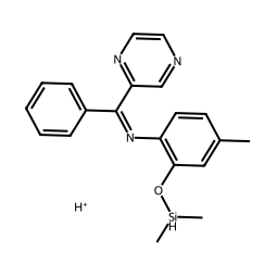 Cc1ccc(N=C(c2ccccc2)c2cnccn2)c(O[SiH](C)C)c1.[H+]